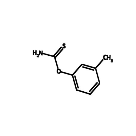 Cc1cccc(OC(N)=S)c1